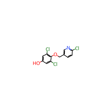 Oc1cc(Cl)c(OCc2ccc(Cl)nc2)c(Cl)c1